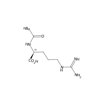 CCCCC(=O)N[C@@H](CCCNC(=N)N)C(=O)O